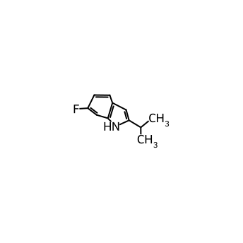 CC(C)c1cc2ccc(F)cc2[nH]1